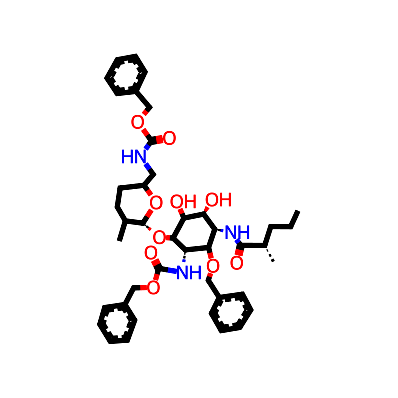 CCC[C@H](C)C(=O)N[C@@H]1C(OCc2ccccc2)[C@H](NC(=O)OCc2ccccc2)C(O[C@H]2OC(CNC(=O)OCc3ccccc3)CCC2C)C(O)[C@H]1O